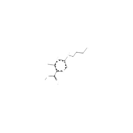 CCCCNc1cnc(C(=O)OC)c(Cl)n1